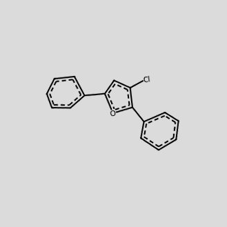 Clc1cc(-c2ccccc2)oc1-c1ccccc1